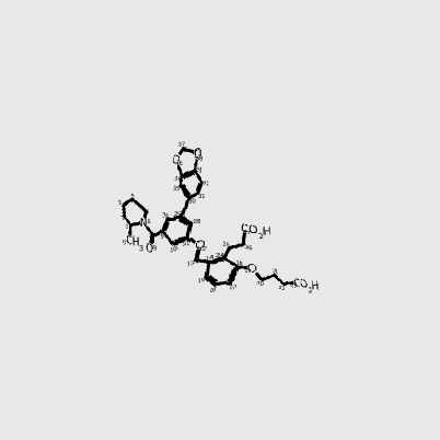 CC1CCCCN1C(=O)c1cc(OCc2cccc(OCCCC(=O)O)c2CCC(=O)O)cc(-c2ccc3c(c2)OCO3)c1